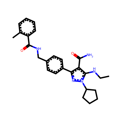 CCNc1c(C(N)=O)c(-c2ccc(CNC(=O)c3ccccc3C)cc2)nn1C1CCCC1